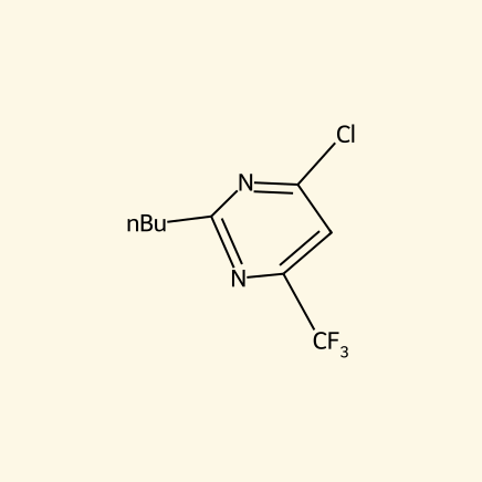 CCCCc1nc(Cl)cc(C(F)(F)F)n1